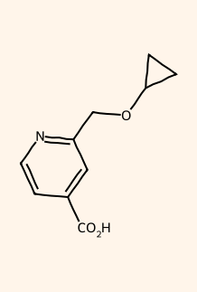 O=C(O)c1ccnc(COC2CC2)c1